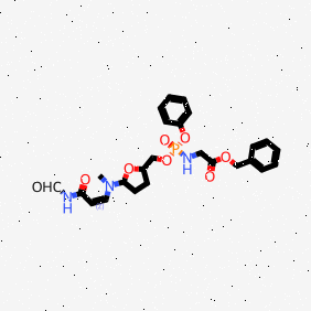 CN(/C=C\C(=O)NC=O)C1CCC(COP(=O)(NCC(=O)OCc2ccccc2)Oc2ccccc2)O1